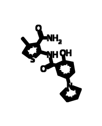 Cc1csc(NC(=O)c2cc(-n3cccc3)ccc2O)c1C(N)=O